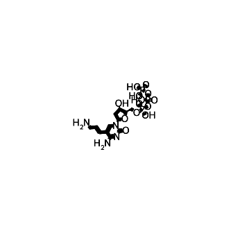 NC/C=C/c1cn([C@H]2C[C@H](O)[C@@H](COP(=O)(O)OP(=O)(O)OP(=O)(O)O)O2)c(=O)nc1N